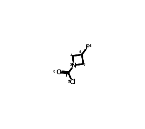 O=C(Cl)N1CC(F)C1